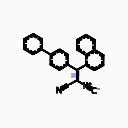 [C-]#[N+]/C(C#N)=C(/c1ccc(-c2ccccc2)cc1)c1cccc2ccccc12